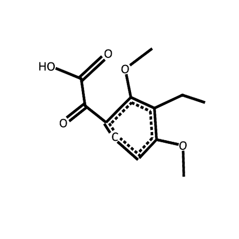 CCc1c(OC)ccc(C(=O)C(=O)O)c1OC